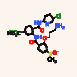 C[S+]([O-])c1ccc(C(=O)Nc2cc(C(=O)O)ccc2C(=O)Nc2ccc(Cl)cn2)c(OCCCN)c1.Cl